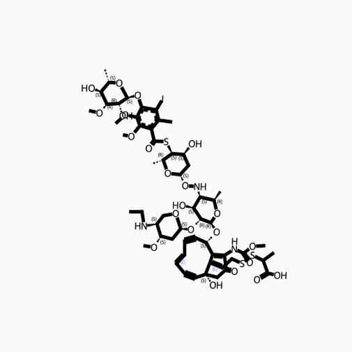 CCN[C@H]1CO[C@@H](O[C@H]2[C@H](O[C@H]3C#C/C=C/C#C[C@]4(O)CC(=O)C(NC(=O)OC)=C3/C4=C\CSSC(C)C(=O)O)O[C@H](C)[C@@H](NO[C@H]3C[C@H](O)[C@H](SC(=O)c4c(C)c(I)c(O[C@@H]5O[C@@H](C)[C@H](O)[C@@H](OC)[C@H]5O)c(OC)c4OC)[C@@H](C)O3)[C@@H]2O)C[C@@H]1OC